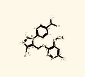 COc1cc(Cl)nnc1OCc1c(C)nnn1-c1ccc(C(F)F)cc1